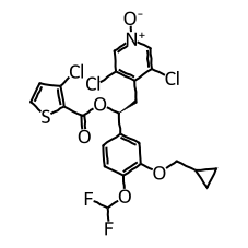 O=C(O[C@@H](Cc1c(Cl)c[n+]([O-])cc1Cl)c1ccc(OC(F)F)c(OCC2CC2)c1)c1sccc1Cl